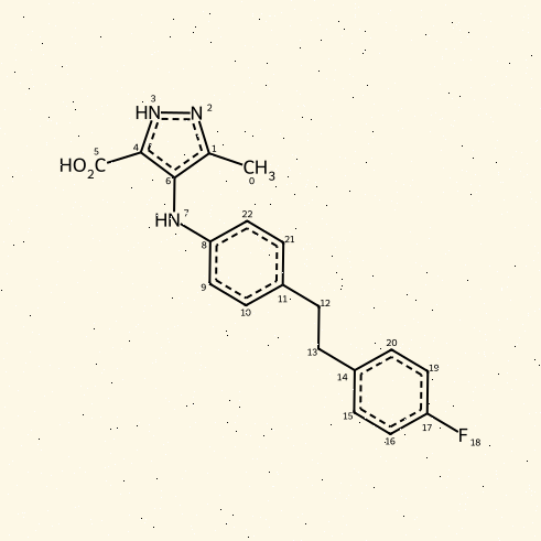 Cc1n[nH]c(C(=O)O)c1Nc1ccc(CCc2ccc(F)cc2)cc1